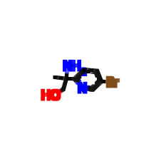 CC(N)(CO)c1ccc(Br)cn1